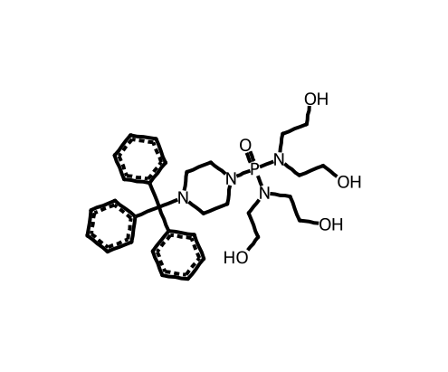 O=P(N(CCO)CCO)(N(CCO)CCO)N1CCN(C(c2ccccc2)(c2ccccc2)c2ccccc2)CC1